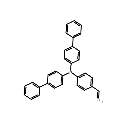 C=Cc1ccc(N(c2ccc(-c3ccccc3)cc2)c2ccc(-c3ccccc3)cc2)cc1